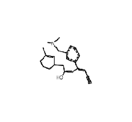 C#C/C=C(\C=C(\O)CC1C=C(C)CCC1)c1cccc(CN(C)C)c1